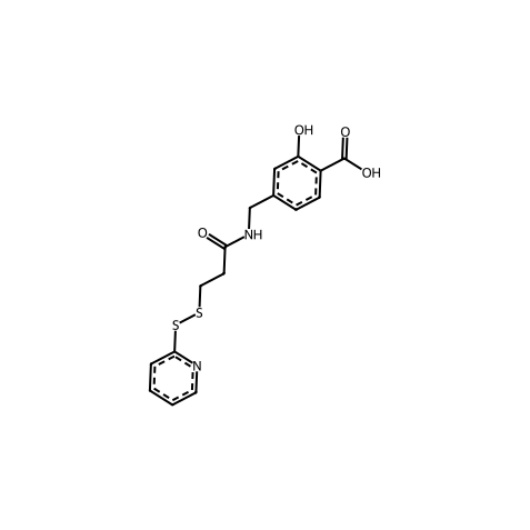 O=C(CCSSc1ccccn1)NCc1ccc(C(=O)O)c(O)c1